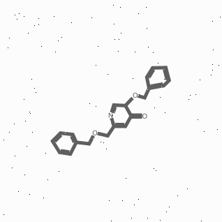 O=C1C=C(COCc2ccccc2)N=CC1OCc1ccccc1